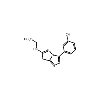 N#Cc1cccc(-c2cnc3sc(NCC(=O)O)nn23)c1